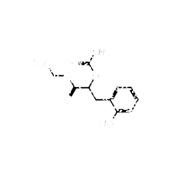 CCOC(=O)C(Cc1ccccc1O)OC(C)=O